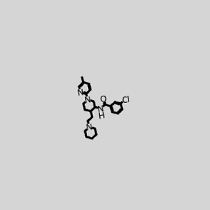 Cc1ccc(N2CCC(CCN3CCCCC3)C(NC(=O)c3cccc(Cl)c3)C2)nc1